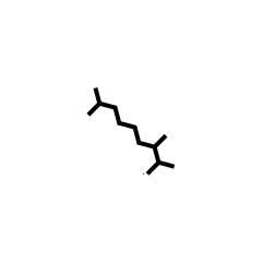 [CH2]C(C)C(C)CCCCC(C)C